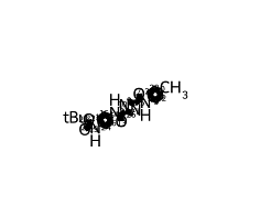 Cc1ccc(NC(=O)c2cnc(C(=O)Nc3ccc(NC(=O)OC(C)(C)C)cc3)cn2)cc1